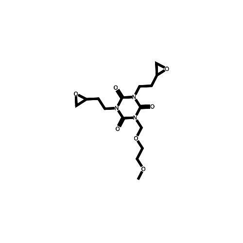 COCCOCn1c(=O)n(CCC2CO2)c(=O)n(CCC2CO2)c1=O